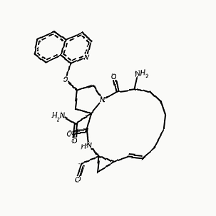 NC(=O)C12CC(Oc3nccc4ccccc34)CN1C(=O)C(N)CCCCC/C=C/C1CC1([C]=O)NC2=O